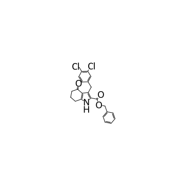 O=C(OCc1ccccc1)c1[nH]c2c(c1Cc1ccc(Cl)c(Cl)c1)C(=O)CCC2